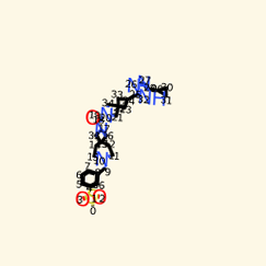 CS(=O)(=O)c1cccc(CN2CCC3(CC2)CN(C(=O)N2CC4(CC(c5nnc(C6CC6)[nH]5)C4)C2)C3)c1